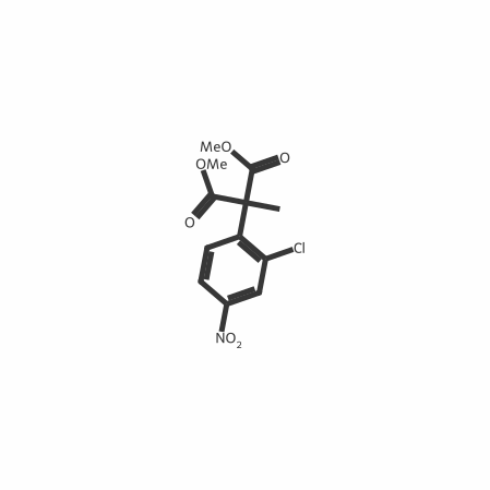 COC(=O)C(C)(C(=O)OC)c1ccc([N+](=O)[O-])cc1Cl